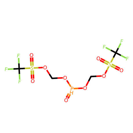 O=[PH](OCOS(=O)(=O)C(F)(F)F)OCOS(=O)(=O)C(F)(F)F